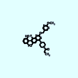 C=CC(=O)N1CCN(c2nc(OCc3cnc(OC)nc3)nc3c(F)c(-c4c(O)cccc4F)c(Cl)cc23)CC1